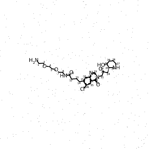 NCCOCCOCCNC(=O)CCCc1cc2ncn(CC(=O)C[C@@H]3NCCC[C@H]3O)c(=O)c2cc1Cl